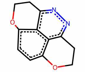 c1cc2c3c(nnc4c3c1OCC4)CCO2